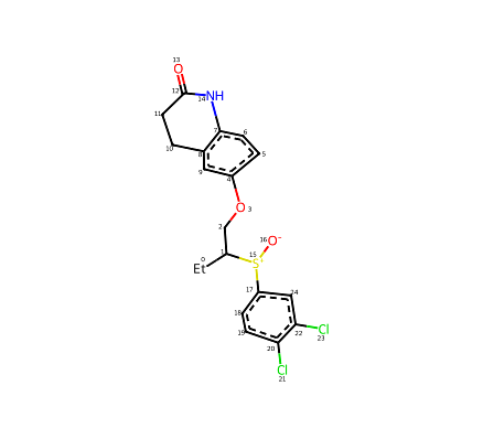 CCC(COc1ccc2c(c1)CCC(=O)N2)[S+]([O-])c1ccc(Cl)c(Cl)c1